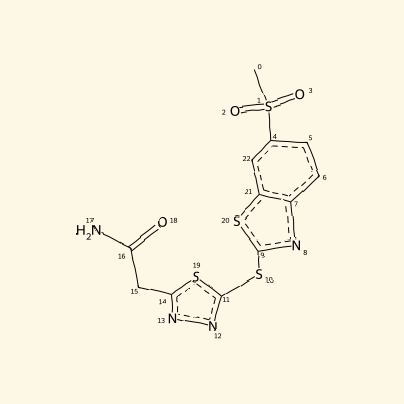 CS(=O)(=O)c1ccc2nc(Sc3nnc(CC(N)=O)s3)sc2c1